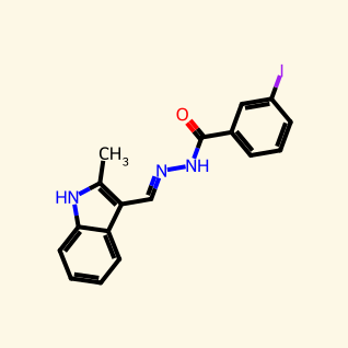 Cc1[nH]c2ccccc2c1/C=N/NC(=O)c1cccc(I)c1